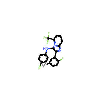 Cc1ccc(F)c(-c2nc3cccc(C(F)(F)F)n3c2Nc2ccc(F)cc2)c1